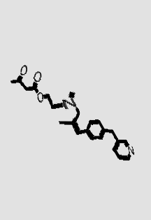 CC(=O)CC(=O)OCCN(C)CC(C)=Cc1ccc(Cc2cccnc2)cc1